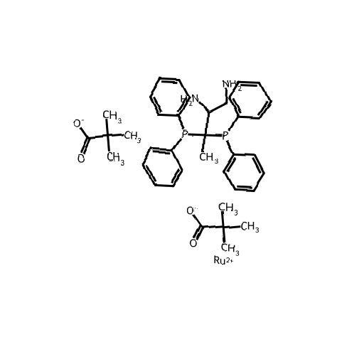 CC(C(N)CN)(P(c1ccccc1)c1ccccc1)P(c1ccccc1)c1ccccc1.CC(C)(C)C(=O)[O-].CC(C)(C)C(=O)[O-].[Ru+2]